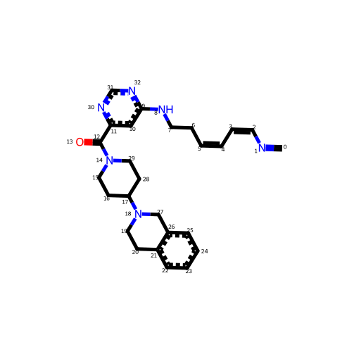 C=N/C=C\C=C/CCNc1cc(C(=O)N2CCC(N3CCc4ccccc4C3)CC2)ncn1